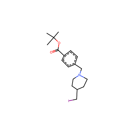 CC(C)(C)OC(=O)c1ccc(CN2CCC(CI)CC2)cc1